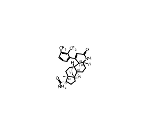 C[C@]12CC[C@H]3[C@@H](CC[C@H]4NC(=O)C=C(c5cccc(C(F)(F)F)c5C(F)(F)F)[C@@]43C)[C@@H]1CC[C@@H]2C(N)=O